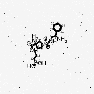 N[C@@H](CNS(=O)(=O)N1C[C@H](CCCB(O)O)[C@](N)(C(=O)O)C1)c1ccccc1